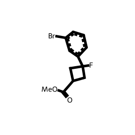 COC(=O)C1CC(F)(c2cccc(Br)c2)C1